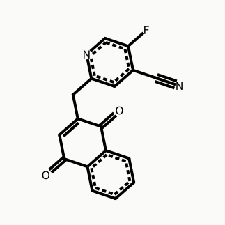 N#Cc1cc(CC2=CC(=O)c3ccccc3C2=O)ncc1F